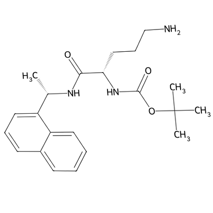 C[C@H](NC(=O)[C@H](CCCN)NC(=O)OC(C)(C)C)c1cccc2ccccc12